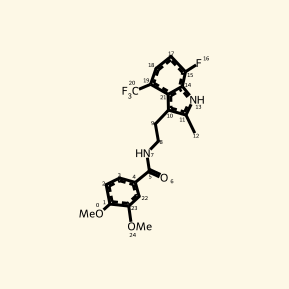 COc1ccc(C(=O)NCCc2c(C)[nH]c3c(F)ccc(C(F)(F)F)c23)cc1OC